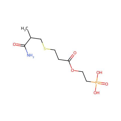 CC(CSCCC(=O)OCCP(=O)(O)O)C(N)=O